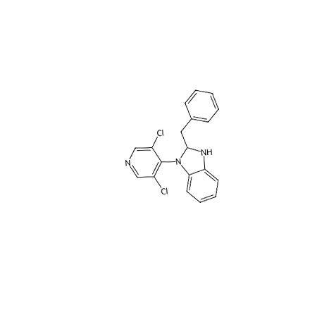 Clc1cncc(Cl)c1N1c2ccccc2NC1Cc1ccccc1